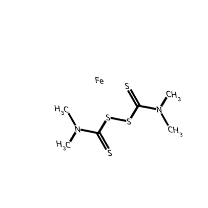 CN(C)C(=S)SSC(=S)N(C)C.[Fe]